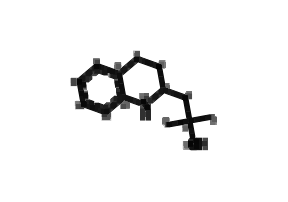 CC(C)(O)CC1CCc2ccccc2N1